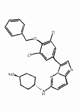 O[C@H]1CC[C@H](Nc2ccc3ncc(-c4cc(Cl)c(OCc5ccccc5)c(Cl)c4)n3n2)CC1